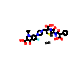 O=C(O)C1=C(CN2CCN(c3cc4c(cc3F)c(=O)c(C(=O)O)cn4C3CC3)CC2)CS[C@@H]2C(NC(=O)C(C(=O)O)c3ccccc3)C(=O)N12.[NaH]